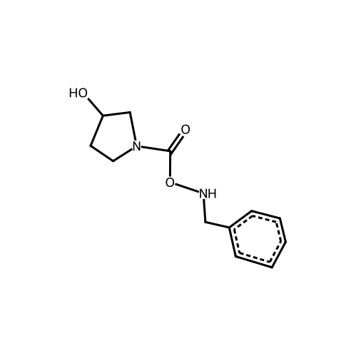 O=C(ONCc1ccccc1)N1CCC(O)C1